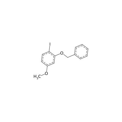 COc1ccc(I)c(OCc2ccccc2)c1